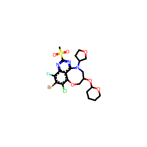 CS(=O)(=O)c1nc2c3c(c(Cl)c(Br)c(F)c3n1)OCC(OC1CCCCO1)CN2C1CCOC1